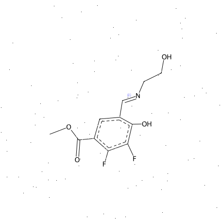 COC(=O)c1cc(/C=N/CCO)c(O)c(F)c1F